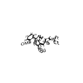 CCN(CC)c1ccc(/C=c2/c(C(C)(C)C)nn3c(-c4ccccc4OC)nnc23)s1